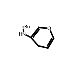 CCCCNC1=[C]OC=CC1